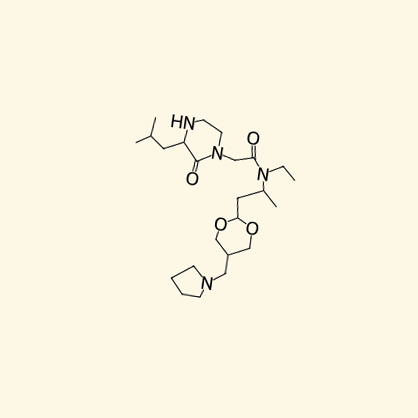 CCN(C(=O)CN1CCNC(CC(C)C)C1=O)C(C)CC1OCC(CN2CCCC2)CO1